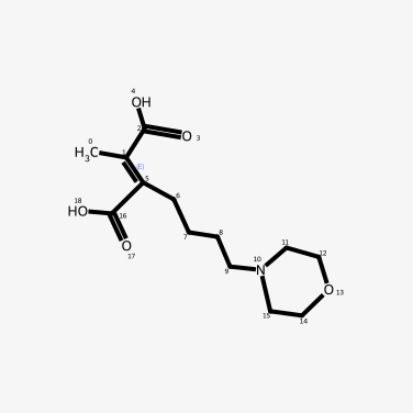 C/C(C(=O)O)=C(/CCCCN1CCOCC1)C(=O)O